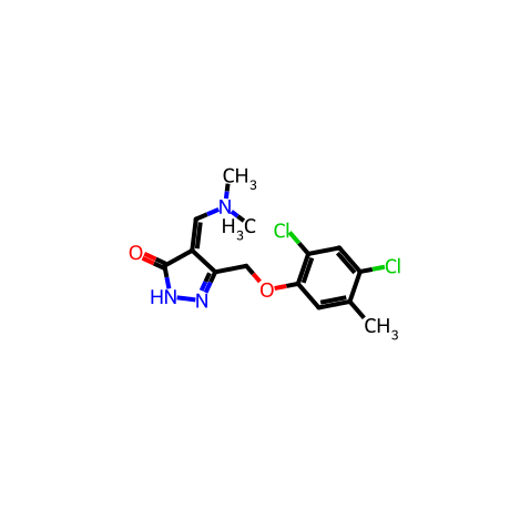 Cc1cc(OCC2=NNC(=O)C2=CN(C)C)c(Cl)cc1Cl